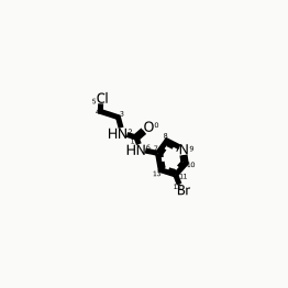 O=C(NCCCl)Nc1cncc(Br)c1